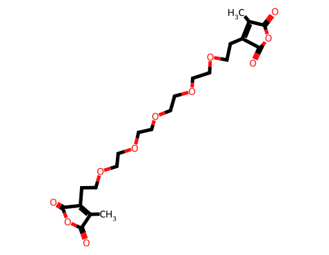 CC1=C(CCOCCOCCOCCOCCOCCC2=C(C)C(=O)OC2=O)C(=O)OC1=O